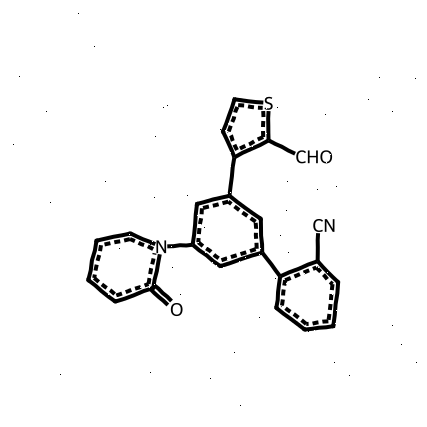 N#Cc1ccccc1-c1cc(-c2ccsc2C=O)cc(-n2ccccc2=O)c1